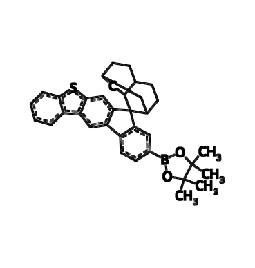 CC1(C)OB(c2ccc3c(c2)C2(c4cc5sc6ccccc6c5cc4-3)C3CCC4CCC(C3)CC42)OC1(C)C